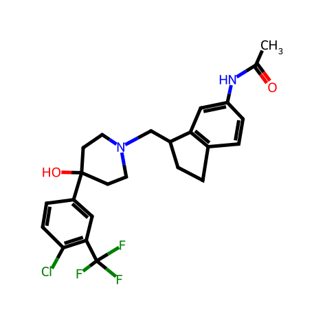 CC(=O)Nc1ccc2c(c1)C(CN1CCC(O)(c3ccc(Cl)c(C(F)(F)F)c3)CC1)CC2